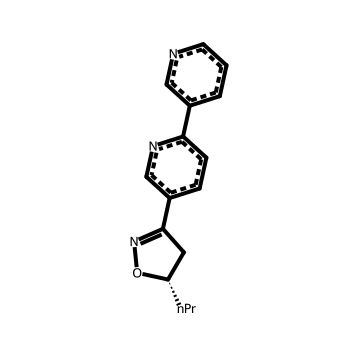 CCC[C@H]1CC(c2ccc(-c3cccnc3)nc2)=NO1